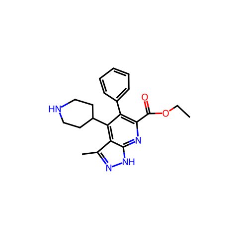 CCOC(=O)c1nc2[nH]nc(C)c2c(C2CCNCC2)c1-c1ccccc1